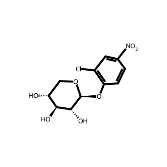 O=[N+]([O-])c1ccc(O[C@@H]2OC[C@@H](O)[C@H](O)[C@H]2O)c(Cl)c1